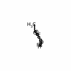 CCCCCCCC1COC(c2ccc(C3CCC(C4CCC(OC(F)(F)c5cc(F)c(F)c(F)c5)CC4)CC3)c(F)c2)OC1